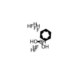 F.F.F.F.F.OBO.c1ccccc1